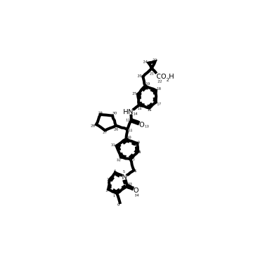 Cc1cccn(Cc2ccc(C(C(=O)Nc3cccc(CC4(C(=O)O)CC4)c3)C3CCCC3)cc2)c1=O